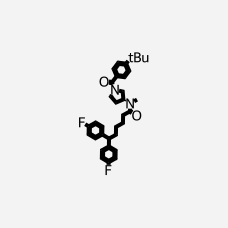 CN(C(=O)CCCCC(c1ccc(F)cc1)c1ccc(F)cc1)[C@@H]1CCN(C(=O)c2ccc(C(C)(C)C)cc2)C1